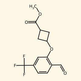 COC(=O)C1CC(Oc2cc(C(F)(F)F)ccc2C=O)C1